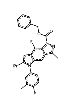 Cc1cc(-n2c(C(C)C)cc3c(F)c4c(cc32)c(C)nn4C(=O)OCc2ccccc2)ccc1F